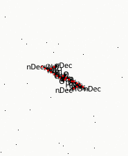 CCCCCCCCCCCCC(O)CN(CCCC(=O)OCCC1NC(=O)C(CCOC(=O)CCCN(CC(O)CCCCCCCCCCCC)CC(O)CCCCCCCCCCCC)NC1=O)CC(O)CCCCCCCCCCCC